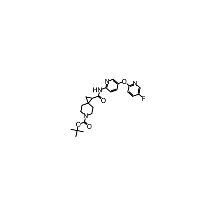 CC(C)(C)OC(=O)N1CCC2(CC1)CC2C(=O)Nc1ccc(Oc2ccc(F)cn2)cn1